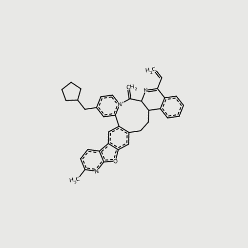 C=CC1=NC2C(=C)[n+]3ccc(CC4CCCC4)cc3-c3cc4c(cc3CCC2c2ccccc21)oc1nc(C)ccc14